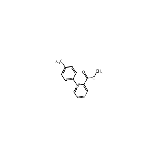 COC(=O)c1cccc[n+]1-c1ccc(C)cc1